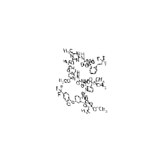 CCOC(=O)C(C)OC(=O)c1cc(Oc2ccc(C(F)(F)F)cc2Cl)ccc1[N+](=O)[O-].COc1cc(OC)nc(NC(=O)NS(=O)(=O)c2ncccc2C(=O)N(C)C)n1.COc1nc(C)nc(NC(=O)NS(=O)(=O)c2ccccc2CCC(F)(F)F)n1